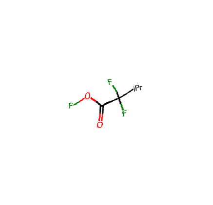 CC(C)C(F)(F)C(=O)OF